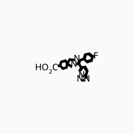 O=C(O)C1CCC2(CC1)Cc1nc(-c3ccc(F)cc3)c(-c3ccc4ncnn4c3)n1C2